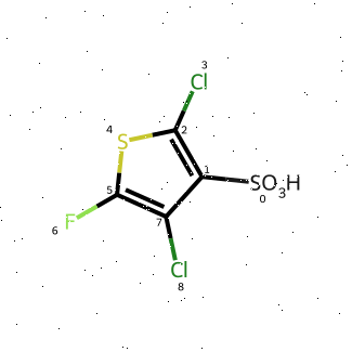 O=S(=O)(O)c1c(Cl)sc(F)c1Cl